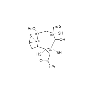 CCCC(=O)CC1(S)C2CC3S[C@@]32[C@H](OC(C)=O)C[C@@](S)(C=S)C(O)[C@@H]1S